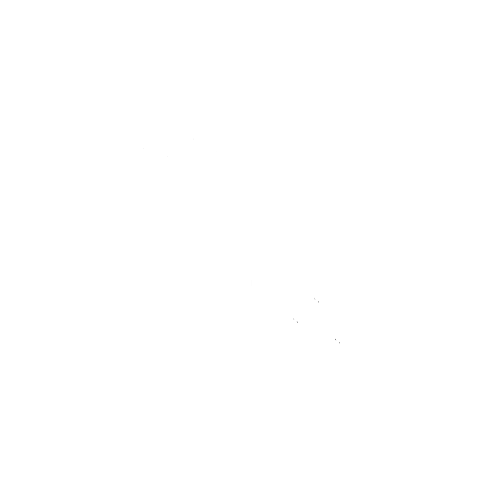 O=c1oc2cccc(OCC(O)Cn3cncn3)c2c2c1CCCC2